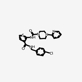 O=C(NCc1ccc(Cl)cc1)c1ccsc1NC(=O)N1CCN(c2ccccn2)CC1